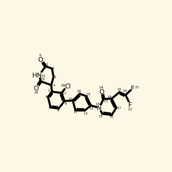 O=C1CCC(c2cccc(-c3ccc(-n4cccc(C=C(F)F)c4=O)cc3)c2Cl)C(=O)N1